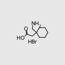 Br.NCC1(CC(=O)O)CCCCC1